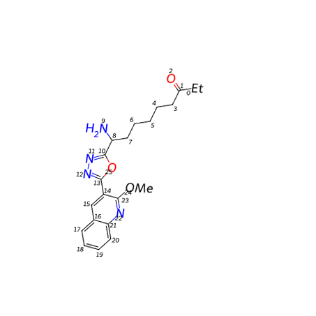 CCC(=O)CCCCCC(N)c1nnc(-c2cc3ccccc3nc2OC)o1